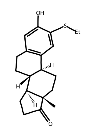 CCSc1cc2c(cc1O)CC[C@@H]1[C@@H]2CC[C@]2(C)C(=O)CC[C@@H]12